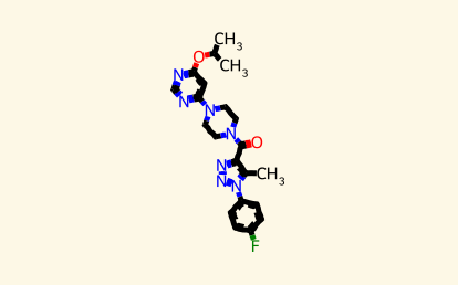 Cc1c(C(=O)N2CCN(c3cc(OC(C)C)ncn3)CC2)nnn1-c1ccc(F)cc1